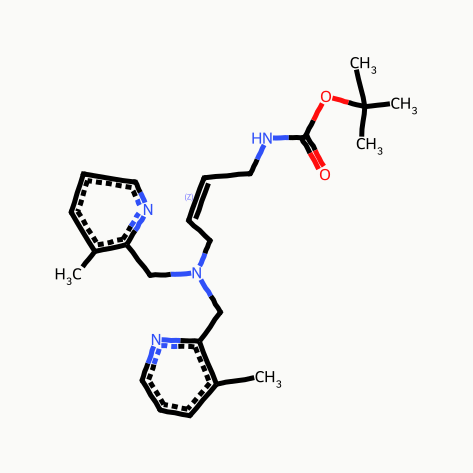 Cc1cccnc1CN(C/C=C\CNC(=O)OC(C)(C)C)Cc1ncccc1C